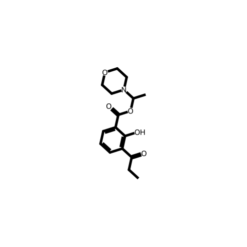 CCC(=O)c1cccc(C(=O)OC(C)N2CCOCC2)c1O